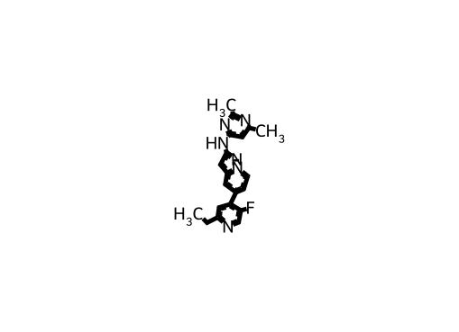 CCc1cc(-c2ccn3nc(Nc4cc(C)nc(C)n4)cc3c2)c(F)cn1